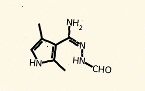 Cc1c[nH]c(C)c1/C(N)=N\NC=O